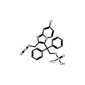 [N-]=[N+]=NCc1nc2cc(Cl)ccn2c1C(COP(=O)(O)O)(c1ccccc1)c1ccccc1